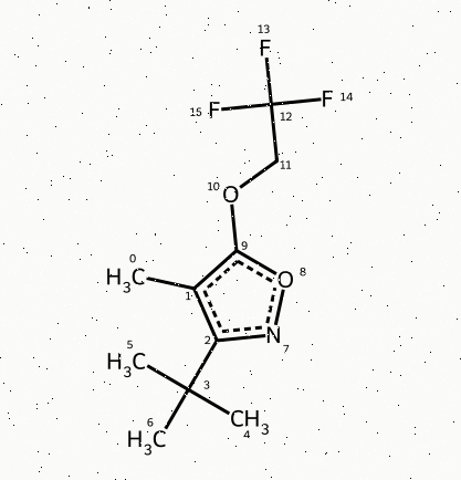 Cc1c(C(C)(C)C)noc1OCC(F)(F)F